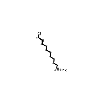 CCCCCCCCCCCCC/C=C/CCl